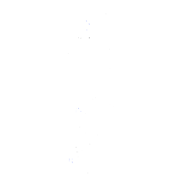 O=C(NC1CN2CCC1CC2)c1ccc2ncoc2c1